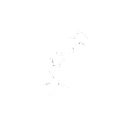 O=C(O)CN1C(=O)/C(=C/c2ccc(OC(=O)c3ccccc3I)cc2)SC1=S